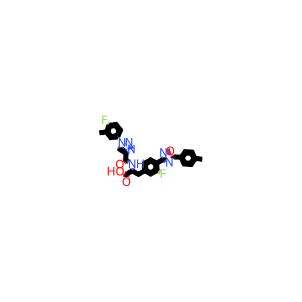 Cc1ccc(-c2nc(-c3ccc(CC(NC(=O)c4cn(-c5ccc(F)c(C)c5)nn4)C(=O)O)cc3F)no2)cc1